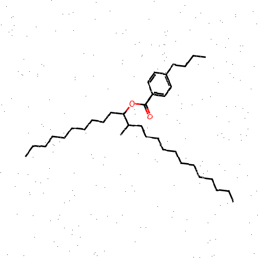 CCCCCCCCCCCCC(C)C(CCCCCCCCCC)OC(=O)c1ccc(CCCC)cc1